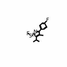 Cc1c(-c2ccc(F)cc2)nn(SF)c1C(C)C